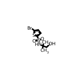 CC(C)(CO)NS(=O)(=O)c1ccc(Br)s1